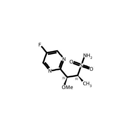 CO[C@@H](c1ncc(F)cn1)[C@H](C)S(N)(=O)=O